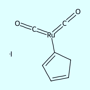 O=[C]=[Ru](=[C]=O)[C]1=CC=CC1.[I]